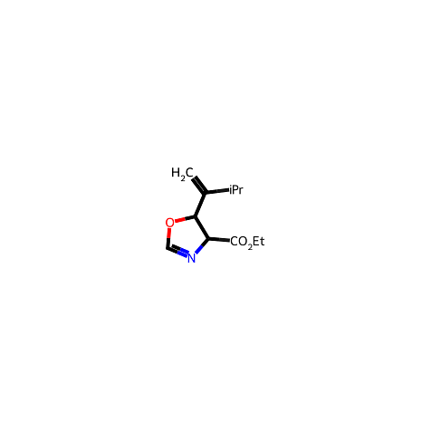 C=C(C(C)C)C1OC=NC1C(=O)OCC